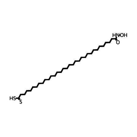 O=C(CCCCCCCCCCCCCCCCCCCCCCCCCCCCCCCC(=S)S)NO